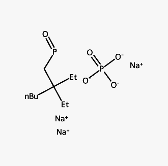 CCCCC(CC)(CC)CP=O.O=P([O-])([O-])[O-].[Na+].[Na+].[Na+]